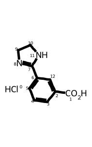 Cl.O=C(O)c1cccc(C2=NCCN2)c1